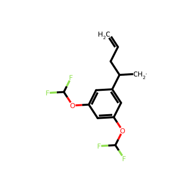 [CH2]C(CC=C)c1cc(OC(F)F)cc(OC(F)F)c1